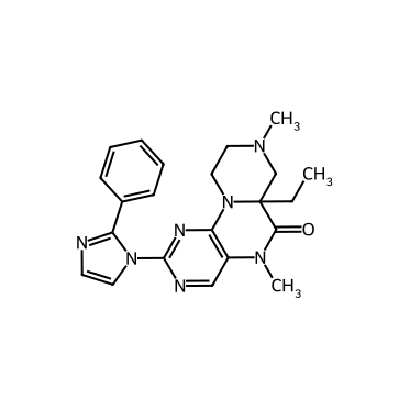 CCC12CN(C)CCN1c1nc(-n3ccnc3-c3ccccc3)ncc1N(C)C2=O